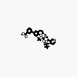 COC(=O)c1cccc(-c2ccc3c(c2)CC[C@H](CN(C[C@@H](O[Si](C)(C)C(C)(C)C)c2cccnc2)C(=O)OC(C)(C)C)O3)c1